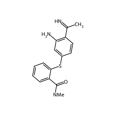 CNC(=O)c1ccccc1Sc1ccc(C(C)=N)c(N)c1